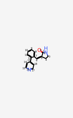 O=C1NCCC1=Cc1ccccc1-c1ccncc1